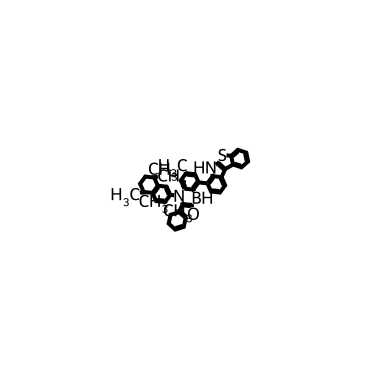 Cc1cc(-c2cccc3c2[nH]c2sc4ccccc4c23)c2c(c1)N(c1cc3c(cc1C)C(C)(C)CCC3(C)C)c1c(oc3c1CCC=C3)B2